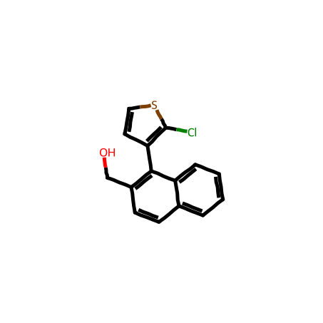 OCc1ccc2ccccc2c1-c1ccsc1Cl